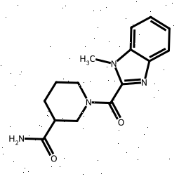 Cn1c(C(=O)N2CCCC(C(N)=O)C2)nc2ccccc21